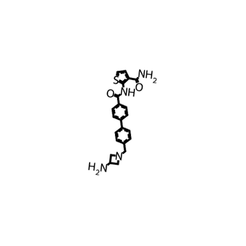 NC(=O)c1ccsc1NC(=O)c1ccc(-c2ccc(CN3CC(N)C3)cc2)cc1